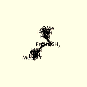 CCc1ccc(CCc2ccc(C)cc2C#Cc2c[nH]c([C@@H]3C[C@@H]4CCCC[C@@H]4N3C(=O)[C@@H](NC(=O)OC)C(C)C)n2)cc1C#Cc1c[nH]c([C@@H]2C[C@@H]3CCCC[C@@H]3N2C(=O)[C@@H](NC(=O)OC)C(C)C)n1